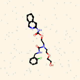 O=C(Nc1cc2ccccc2cn1)OCCN(CCOCCO)C(=O)NCc1ccccc1Cl